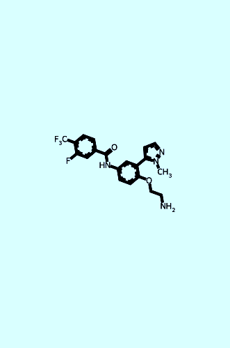 Cn1nccc1-c1cc(NC(=O)c2ccc(C(F)(F)F)c(F)c2)ccc1OCCN